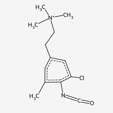 Cc1cc(CC[N+](C)(C)C)cc(Cl)c1N=C=O